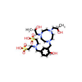 C[C@H](O)CN1CCN(Cc2cc(CN(CCS(=O)(=O)O)CCS(=O)(=O)O)ccc2O)CCN(C[C@H](C)O)CC1